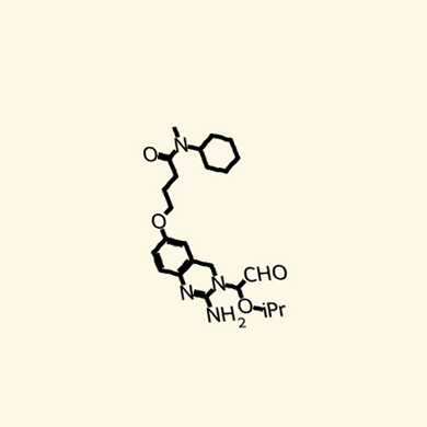 CC(C)OC(C=O)N1Cc2cc(OCCCC(=O)N(C)C3CCCCC3)ccc2N=C1N